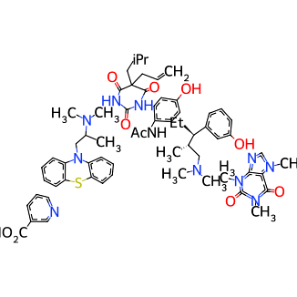 C=CCC1(CC(C)C)C(=O)NC(=O)NC1=O.CC(=O)Nc1ccc(O)cc1.CC(CN1c2ccccc2Sc2ccccc21)N(C)C.CC[C@@H](c1cccc(O)c1)[C@@H](C)CN(C)C.Cn1c(=O)c2c(ncn2C)n(C)c1=O.O=C(O)c1cccnc1